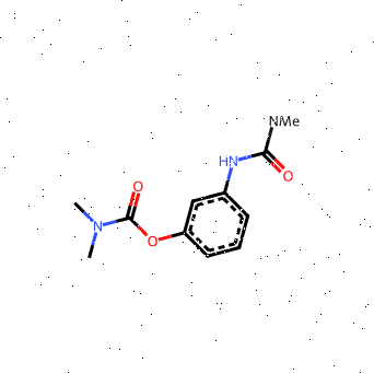 CNC(=O)Nc1cccc(OC(=O)N(C)C)c1